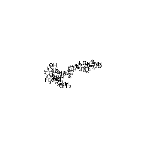 CCc1c(F)ccc2cc(O)cc(-c3nc(NC)c4c(N5CCC[C@@](C)(O)C5)nc(OCC5(CN6CCC(CN7CCC(c8cccc9c(C%10CCC(=O)NC%10=O)nn(C)c89)CC7)CC6)CC5)nc4c3F)c12